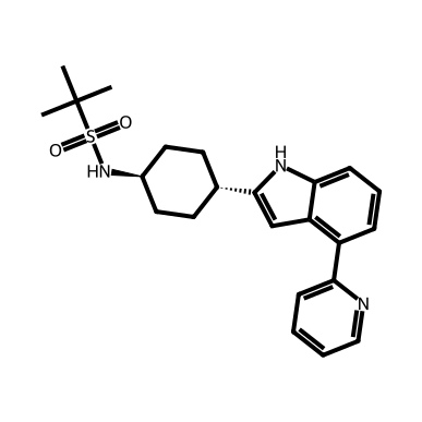 CC(C)(C)S(=O)(=O)N[C@H]1CC[C@H](c2cc3c(-c4ccccn4)cccc3[nH]2)CC1